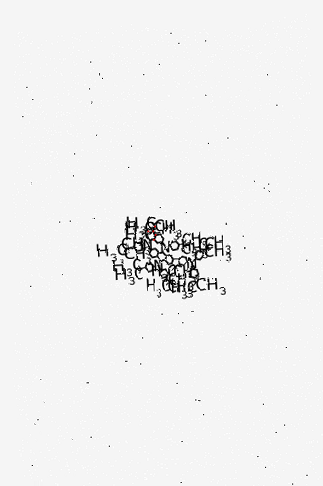 CC(C)c1ccc(N(c2ccc(C(C)(C)C)cc2)c2ccc3c(c2)C(C)(C)c2cc4c(N(c5ccc(C(C)C)cc5)c5ccc(C(C)(C)C)cc5)c5ccc(N(c6ccc(C(C)C)cc6)c6ccc(C(C)(C)C)cc6)cc5c(N(c5ccc(C(C)C)cc5)c5ccc(C(C)(C)C)cc5)c4cc2-3)cc1